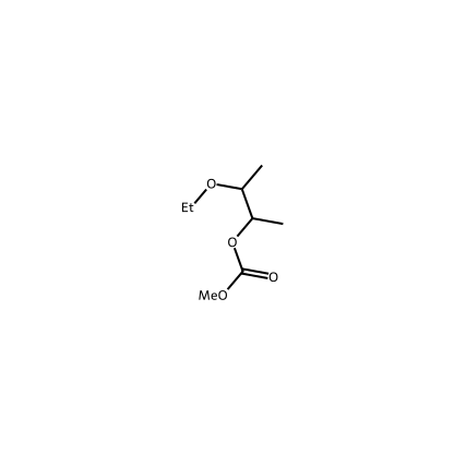 CCOC(C)C(C)OC(=O)OC